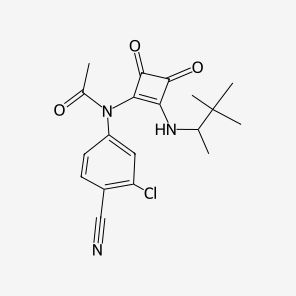 CC(=O)N(c1ccc(C#N)c(Cl)c1)c1c(NC(C)C(C)(C)C)c(=O)c1=O